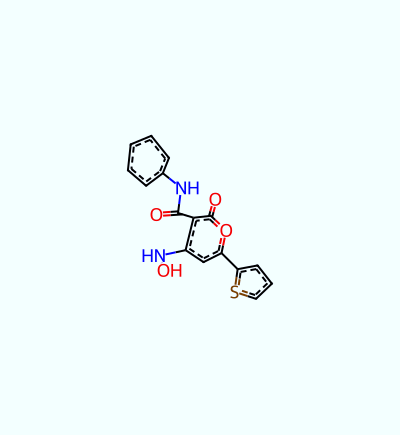 O=C(Nc1ccccc1)c1c(NO)cc(-c2cccs2)oc1=O